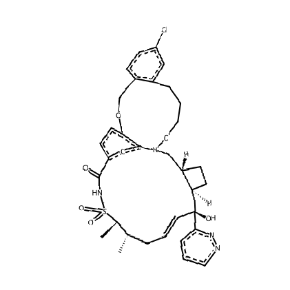 C[C@@H]1[C@@H](C)C/C=C/[C@@](O)(c2cccnn2)[C@@H]2CC[C@H]2CN2CCCCc3cc(Cl)ccc3COc3ccc(cc32)C(=O)NS1(=O)=O